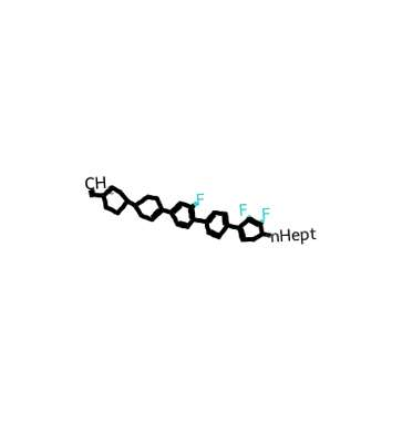 C=CC1CCC(C2CC=C(c3ccc(-c4ccc(C5=CCC(CCCCCCC)C(F)=C5F)cc4)c(F)c3)CC2)CC1